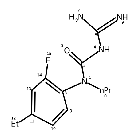 CCCN(C(=O)NC(=N)N)c1ccc(CC)cc1F